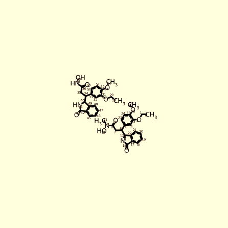 CCOc1cc(C(CC(=O)N(C)O)C2=NC(=O)c3ccccc32)ccc1OC.CCOc1cc(C(CC(=O)NO)C2NC(=O)c3ccccc32)ccc1OC